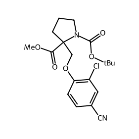 COC(=O)C1(COc2ccc(C#N)cc2Cl)CCCN1C(=O)OC(C)(C)C